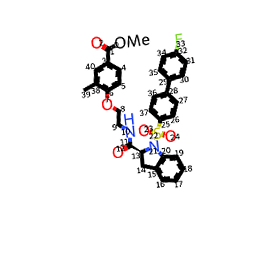 COC(=O)c1ccc(OCCNC(=O)[C@@H]2Cc3ccccc3N2S(=O)(=O)c2ccc(-c3ccc(F)cc3)cc2)c(C)c1